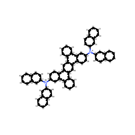 c1ccc2cc(N(c3ccc4ccccc4c3)c3ccc4c(c3)c3ccccc3c3cc5c6ccc(N(c7ccc8ccccc8c7)c7ccc8ccccc8c7)cc6c6ccccc6c5cc43)ccc2c1